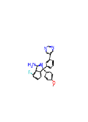 COc1ccc(C2(c3cccc(-c4cncnc4)c3)N=C(N)c3c(F)cccc32)cc1